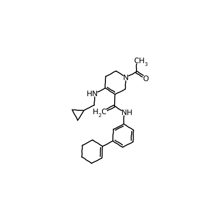 C=C(Nc1cccc(C2=CCCCC2)c1)C1=C(NCC2CC2)CCN(C(C)=O)C1